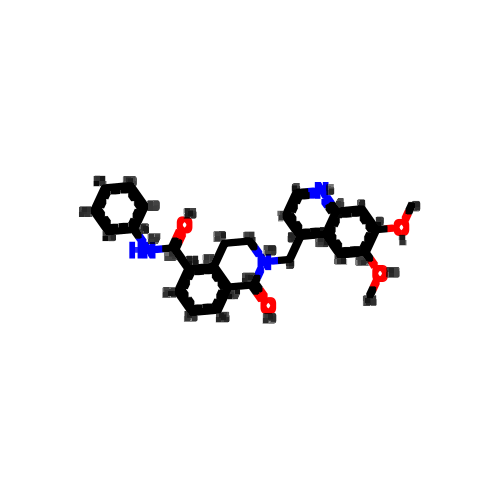 COc1cc2nccc(CN3CCc4c(C(=O)Nc5ccccc5)cccc4C3=O)c2cc1OC